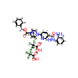 Nc1ccccc1NC(=O)c1ccc(N2CC3CCC2CN3C(=O)OCc2ccccc2)nc1.O=C(O)C(F)(F)F.O=C(O)C(F)(F)F